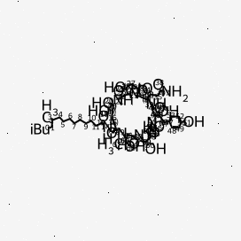 CCC(C)CC(C)CCCCCCCCC(=O)N[C@H]1C[C@@H](O)[C@@H](O)NC(=O)C2[C@@H](O)CCN2C(=O)[C@H]([C@H](O)CC(N)=O)NC(=O)[C@H]([C@H](O)[C@@H](O)c2ccc(O)cc2)NC(=O)C2C[C@@H](O)CN2C(=O)[C@H]([C@@H](C)O)NC1=O